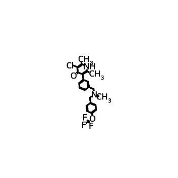 Cc1[nH]c(C)c(-c2cccc(CN(C)Cc3ccc(OC(F)(F)F)cc3)c2)c(=O)c1Cl